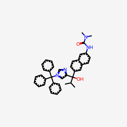 CC(C)C(O)(c1ccc2cc(NC(=O)N(C)C)ccc2c1)c1cn(C(c2ccccc2)(c2ccccc2)c2ccccc2)cn1